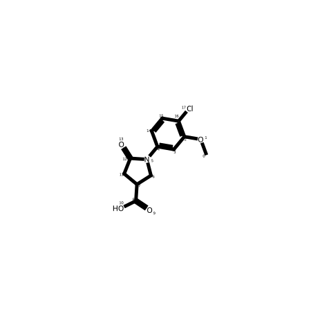 COc1cc(N2CC(C(=O)O)CC2=O)ccc1Cl